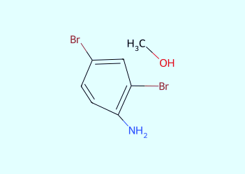 CO.Nc1ccc(Br)cc1Br